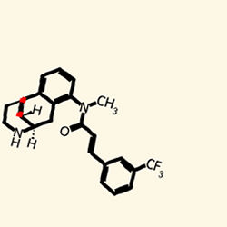 CN(C(=O)C=Cc1cccc(C(F)(F)F)c1)c1cccc2c1C[C@H]1NCC[C@@]23CCCC[C@@H]13